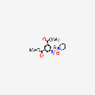 COC(=O)c1cc(C(=O)OC)cc(N(C)S(=O)(=O)N2CCCCC2)c1